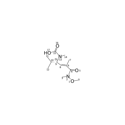 CON(C)C(=O)C(C)=C[C@H](C(C)C)N(C)C(=O)O